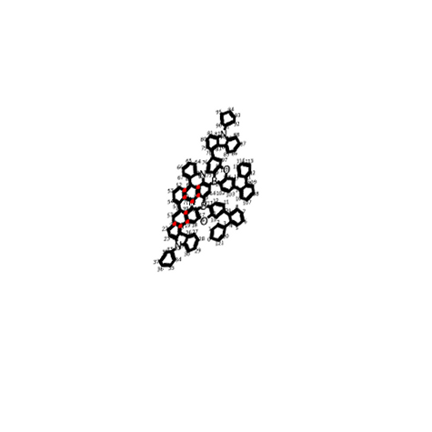 c1ccc(-c2ccccc2-c2ccc3c(c2)Oc2cc(-c4cccc5c4c4ccccc4n5-c4ccccc4)cc4c2B3c2cc3c(cc2N4c2ccccc2-c2ccccc2)N(c2ccccc2-c2ccccc2)c2cc(-c4cccc5c4c4ccccc4n5-c4ccccc4)cc4c2B3c2ccc(-c3ccccc3-c3ccccc3)cc2O4)cc1